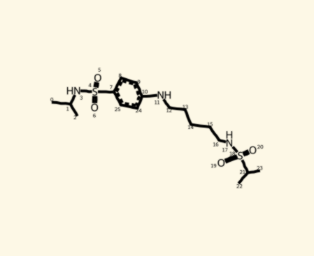 CC(C)NS(=O)(=O)c1ccc(NCCCCCNS(=O)(=O)C(C)C)cc1